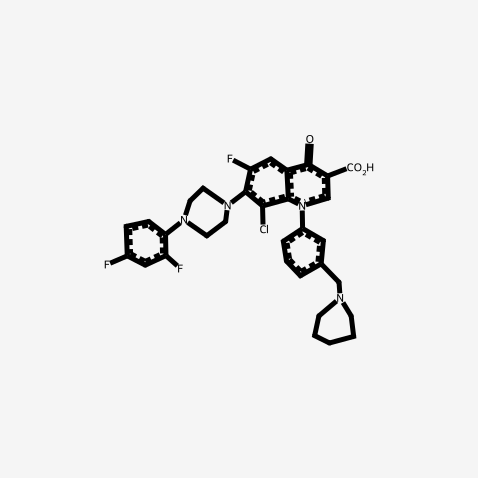 O=C(O)c1cn(-c2cccc(CN3CCCCC3)c2)c2c(Cl)c(N3CCN(c4ccc(F)cc4F)CC3)c(F)cc2c1=O